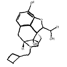 CCC(O)C1OC2=C(O)C=CC3C[C@H]4N(CC5CCC5)CC[C@@]1(C23)[C@]4(C)O